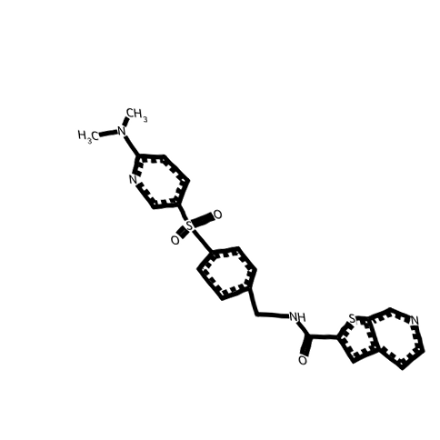 CN(C)c1ccc(S(=O)(=O)c2ccc(CNC(=O)c3cc4ccncc4s3)cc2)cn1